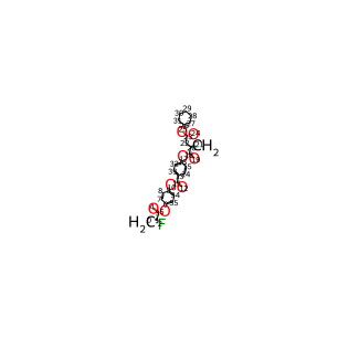 C=C(F)C(=O)Oc1ccc(OC(=O)c2ccc(OC(=O)C(=C)CC(=O)OC3CCCCC3)cc2)cc1